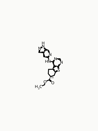 CCOC(=O)[C@H]1CCc2c(sc3ncnc(Nc4cc5cn[nH]c5cn4)c23)C1